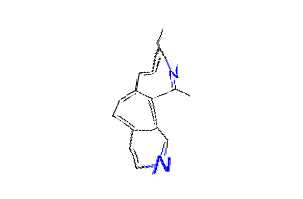 Cc1cc2ccc3ccncc3c2c(C)n1